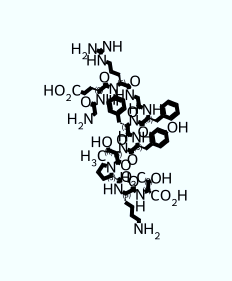 C[C@@H](O)[C@H](NC(=O)[C@H](CCCCN)NC(=O)[C@@H]1CCCN1C(=O)[C@@H](NC(=O)[C@H](Cc1ccc(O)cc1)NC(=O)[C@H](Cc1ccccc1)NC(=O)[C@H](Cc1ccccc1)NC(=O)CNC(=O)[C@H](CCCNC(=N)N)NC(=O)[C@H](CCC(=O)O)NC(=O)CN)[C@@H](C)O)C(=O)O